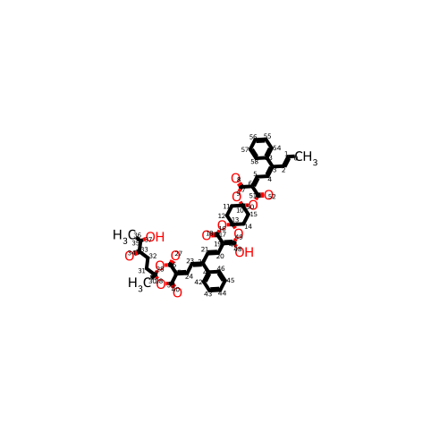 C/C=C/C(=C/C=C1C(=O)OC2(CCC3(CC2)OC(=O)C(/C=C/C(=C/C=C2C(=O)OC(C)(CCC(=O)C(C)O)OC2=O)c2ccccc2)=C(O)O3)OC1=O)c1ccccc1